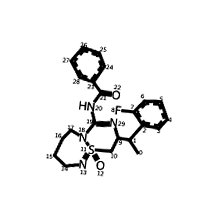 CC(c1ccccc1F)C1CS2(=O)=NCCCCN2C(NC(=O)c2ccccc2)=N1